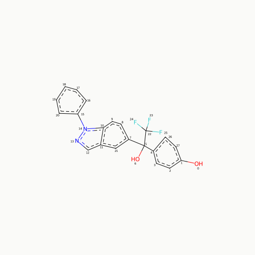 Oc1ccc(C(O)(c2ccc3c(cnn3-c3ccccc3)c2)C(F)(F)F)cc1